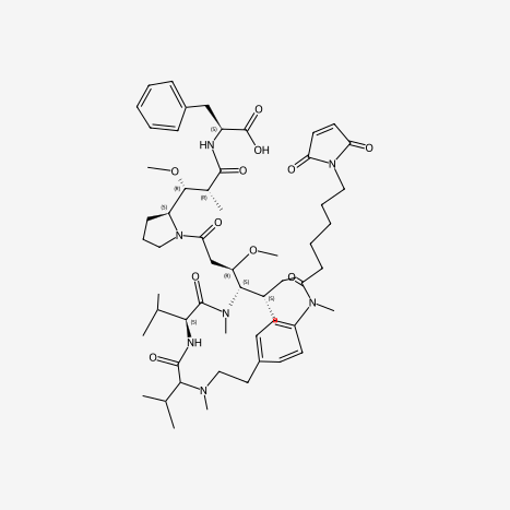 CC[C@H](C)[C@@H]([C@@H](CC(=O)N1CCC[C@H]1[C@H](OC)[C@@H](C)C(=O)N[C@@H](Cc1ccccc1)C(=O)O)OC)N(C)C(=O)[C@@H](NC(=O)C(C(C)C)N(C)CCc1ccc(N(C)C(=O)CCCCCN2C(=O)C=CC2=O)cc1)C(C)C